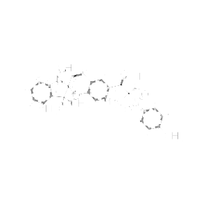 Cc1ccc(S(=O)(=O)C(C)(C)C(=O)c2ccc3c(c2)C=CC2(O3)N(C)c3ccccc3C2(C)C)cc1